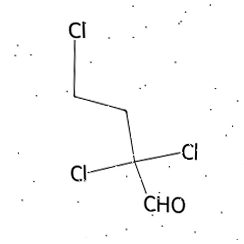 O=CC(Cl)(Cl)CCCl